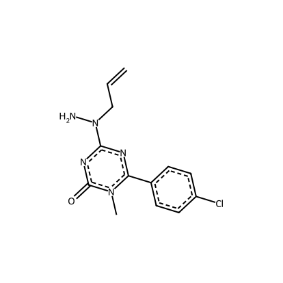 C=CCN(N)c1nc(-c2ccc(Cl)cc2)n(C)c(=O)n1